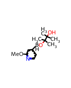 COc1cc(BOC(C)(C)C(C)(C)O)ccn1